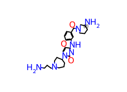 NCCCN1CCCC(n2cc3c(nc2=O)Nc2cc(C(=O)N4CCC[C@@H](N)C4)ccc2O3)CC1